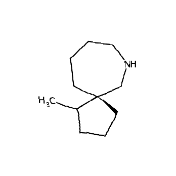 CC1CCC[C@]12CCCCNC2